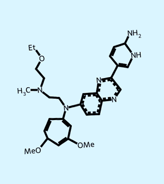 CCOCCN(C)CCN(C1=CC(OC)=CC(OC)C=C1)c1ccc2ncc(C3=CNC(N)C=C3)nc2c1